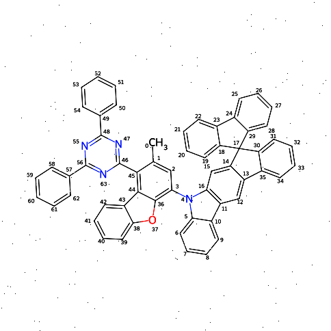 Cc1cc(-n2c3ccccc3c3cc4c(cc32)C2(c3ccccc3-c3ccccc32)c2ccccc2-4)c2oc3ccccc3c2c1-c1nc(-c2ccccc2)nc(-c2ccccc2)n1